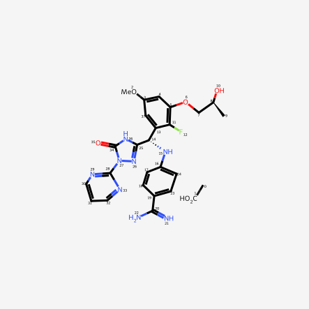 CC(=O)O.COc1cc(OC[C@H](C)O)c(F)c([C@H](Nc2ccc(C(=N)N)cc2)c2nn(-c3ncccn3)c(=O)[nH]2)c1